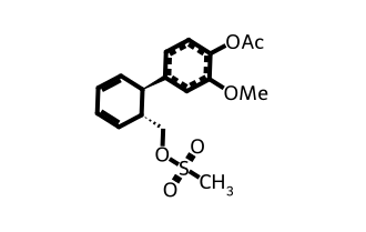 COc1cc([C@@H]2C=CC=C[C@H]2COS(C)(=O)=O)ccc1OC(C)=O